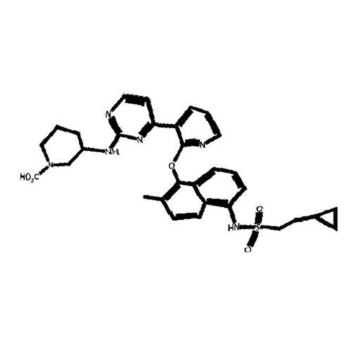 Cc1ccc2c(NS(=O)(=O)CCC3CC3)cccc2c1Oc1ncccc1-c1ccnc(NC2CCCN(C(=O)O)C2)n1